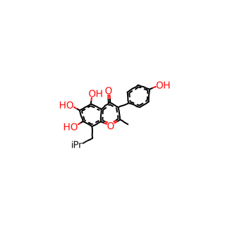 Cc1oc2c(CC(C)C)c(O)c(O)c(O)c2c(=O)c1-c1ccc(O)cc1